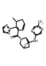 CC1CC=CC(C(=O)N2CC3CCC2C(Nc2cnc(C(F)(F)F)cn2)C3)=C1n1nccn1